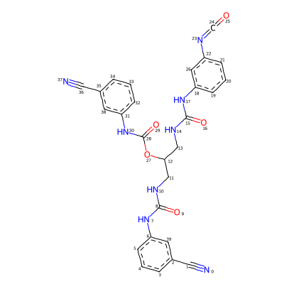 N#Cc1cccc(NC(=O)NCC(CNC(=O)Nc2cccc(N=C=O)c2)OC(=O)Nc2cccc(C#N)c2)c1